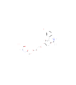 COc1ccc2c3c1O[C@@H]1C(OC(=O)C[C@H](O)C(=O)O[C@@H](C)C(=O)N[C@@H](C)C(=O)O)=CC[C@]4(O)[C@H](C2)N(C)CC[C@@]314